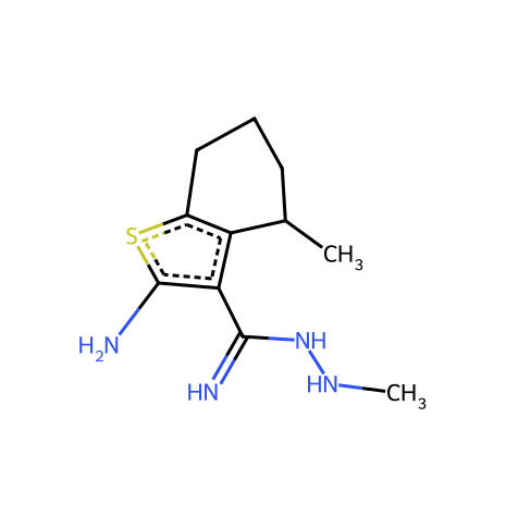 CNNC(=N)c1c(N)sc2c1C(C)CCC2